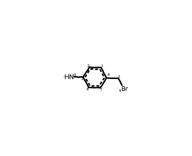 [NH]c1ccc(CBr)cc1